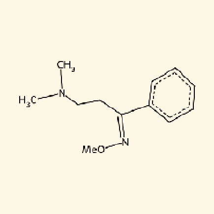 CON=C(CCN(C)C)c1ccccc1